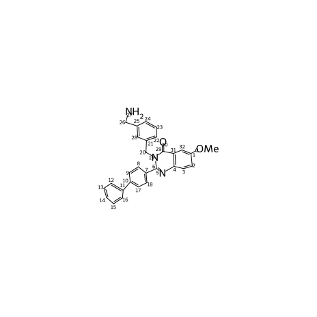 COc1ccc2nc(-c3ccc(-c4ccccc4)cc3)n(Cc3cccc(CN)c3)c(=O)c2c1